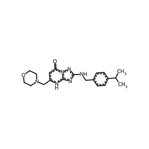 CC(C)c1ccc(CNc2nc3[nH]c(CN4CCOCC4)cc(=O)n3n2)cc1